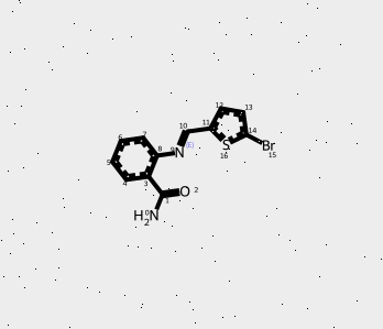 NC(=O)c1ccccc1/N=C/c1ccc(Br)s1